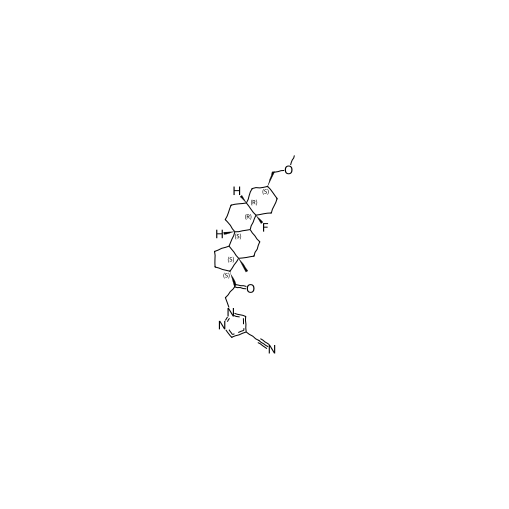 COC[C@H]1CC[C@]2(F)C3CC[C@@]4(C)C(CC[C@@H]4C(=O)Cn4cc(C#N)cn4)[C@@H]3CC[C@@H]2C1